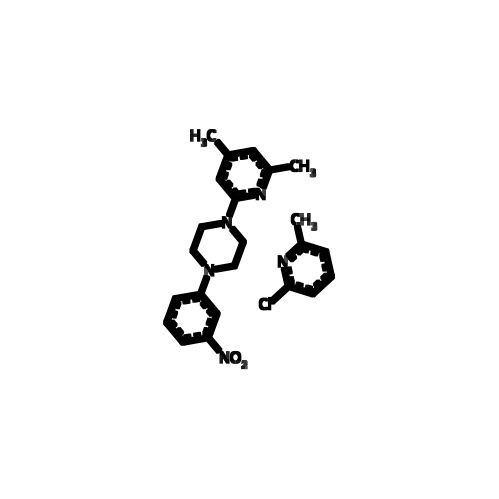 Cc1cc(C)nc(N2CCN(c3cccc([N+](=O)[O-])c3)CC2)c1.Cc1cccc(Cl)n1